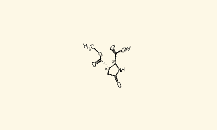 COC(=O)[C@H]1CC(=O)N[C@@H]1C(=O)O